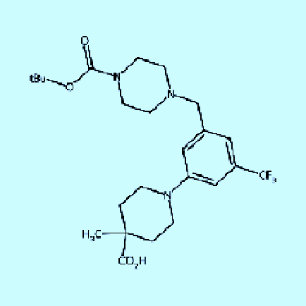 CC(C)(C)OC(=O)N1CCN(Cc2cc(N3CCC(C)(C(=O)O)CC3)cc(C(F)(F)F)c2)CC1